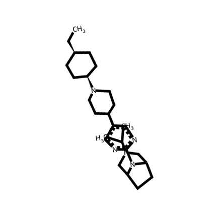 CC[C@H]1CC[C@@H](N2CCC(c3cnc(N4C5CCC4CN(C(C)C)C5)nc3)CC2)CC1